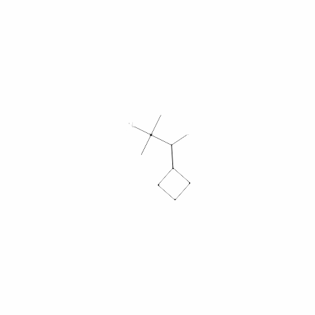 CCC(C1CCC1)C(C)(C)N